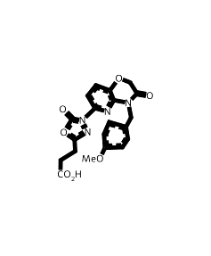 COc1ccc(CN2C(=O)COc3ccc(-n4nc(CCC(=O)O)oc4=O)nc32)cc1